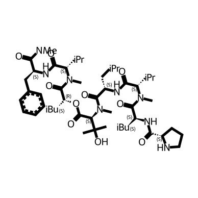 CC[C@H](C)[C@H](NC(=O)[C@@H]1CCCN1)C(=O)N(C)[C@H](C(=O)N[C@@H](CC(C)C)C(=O)N(C)[C@H](C(=O)O[C@@H](C(=O)N(C)[C@H](C(=O)N[C@@H](Cc1ccccc1)C(=O)NC)C(C)C)[C@@H](C)CC)C(C)(C)O)C(C)C